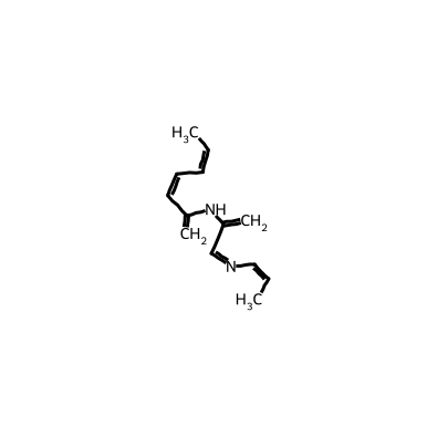 C=C(/C=C\C=C/C)NC(=C)/C=N\C=C/C